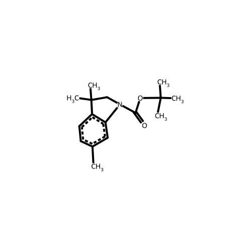 Cc1ccc2c(c1)N(C(=O)OC(C)(C)C)CC2(C)C